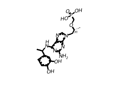 CC(Nc1nc(N)nc2c1ncn2C[C@@H](C)OCP(=O)(O)O)c1ccc(O)c(O)c1